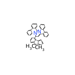 CC1(C)c2ccccc2-c2c(-c3cc(-c4ccccc4-c4ccccc4)nc(-c4ccccc4-c4ccccc4)n3)cccc21